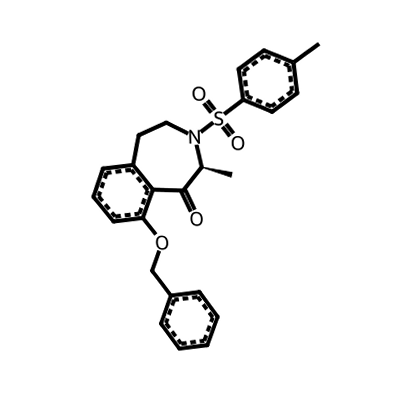 Cc1ccc(S(=O)(=O)N2CCc3cccc(OCc4ccccc4)c3C(=O)[C@@H]2C)cc1